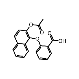 CC(=O)Oc1ccc2ccccc2c1Oc1ccccc1C(=O)O